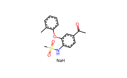 CC(=O)c1ccc(NS(C)(=O)=O)c(Oc2ccccc2C)c1.[NaH]